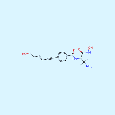 CC(C)(N)C(NC(=O)c1ccc(C#CC=CCCO)cc1)C(=O)NO